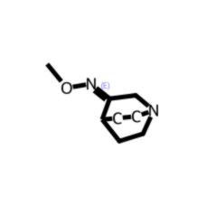 CO/N=C1/CN2CCC1CC2